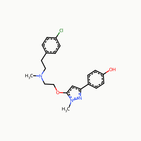 CN(CCOc1cc(-c2ccc(O)cc2)nn1C)CCc1ccc(Cl)cc1